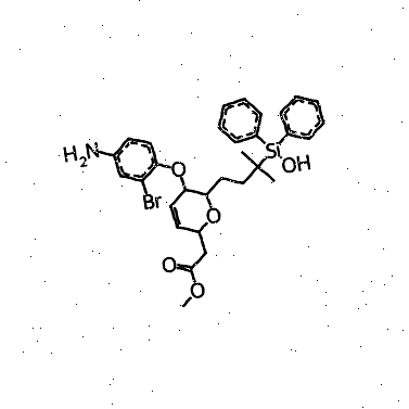 COC(=O)CC1C=CC(Oc2ccc(N)cc2Br)C(CCC(C)(C)[Si](O)(c2ccccc2)c2ccccc2)O1